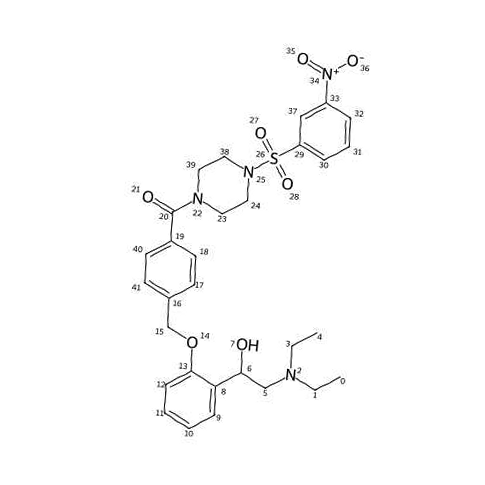 CCN(CC)CC(O)c1ccccc1OCc1ccc(C(=O)N2CCN(S(=O)(=O)c3cccc([N+](=O)[O-])c3)CC2)cc1